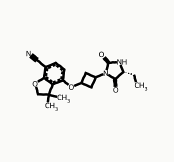 CC[C@H]1NC(=O)N(C2CC(Oc3ccc(C#N)c4c3C(C)(C)CO4)C2)C1=O